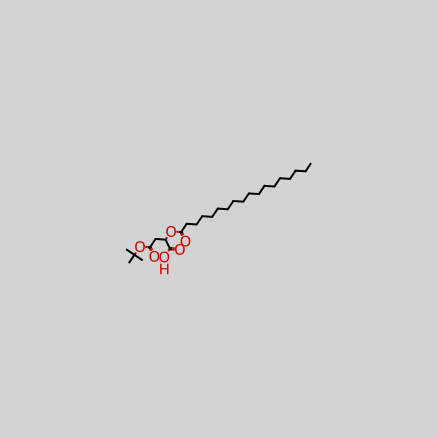 CCCCCCCCCCCCCCCCCC(=O)OC(CC(=O)OC(C)(C)C)C(=O)O